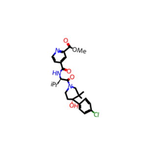 COC(=O)c1cc(C(=O)N[C@@H](C(=O)N2CC[C@](O)(c3ccc(Cl)cc3)C(C)(C)C2)C(C)C)ccn1